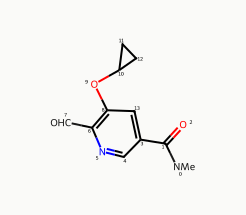 CNC(=O)c1cnc(C=O)c(OC2CC2)c1